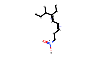 CC/C(=C\C=C/CC[N+](=O)[O-])C(C)CC